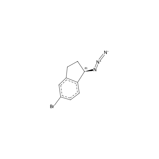 [N-]=[N+]=N[C@@H]1CCc2cc(Br)ccc21